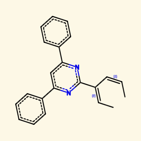 C/C=C\C(=C/C)c1nc(-c2ccccc2)cc(-c2ccccc2)n1